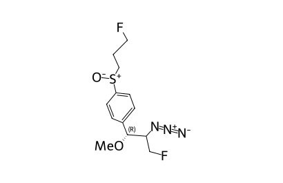 CO[C@H](c1ccc([S+]([O-])CCCF)cc1)C(CF)N=[N+]=[N-]